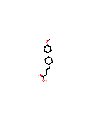 COc1ccc([C@H]2CC[C@H](C=CCC(=O)O)CC2)cc1